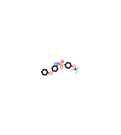 O=S(=O)(Nc1ccc(Oc2ccccc2)cc1)c1ccc(OC(F)(F)F)cc1